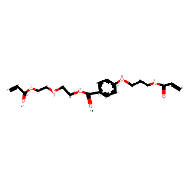 C=CC(=O)OCCCOc1ccc(C(=O)OCCOCCOC(=O)C=C)cc1